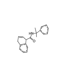 CC(C)(NC(=O)C1C=CCc2ccccc21)c1ccccc1